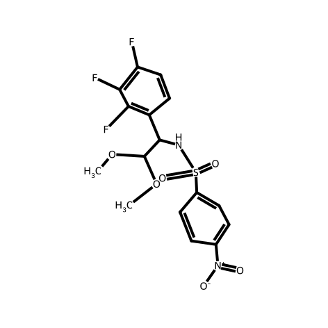 COC(OC)C(NS(=O)(=O)c1ccc([N+](=O)[O-])cc1)c1ccc(F)c(F)c1F